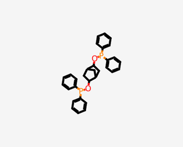 c1ccc(P(OC2CC3CC2CC3OP(c2ccccc2)c2ccccc2)c2ccccc2)cc1